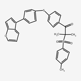 Cc1ccc(S(=O)(=O)C(C)(C)C(=O)c2ccc(Sc3ccc(-c4ccc5occcc4-5)cc3)cc2)cc1